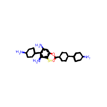 Nc1cc(OC(=O)C2CCC(C3CCC(N)CC3)CC2)c(S)c(N)c1C1CCC(N)CC1